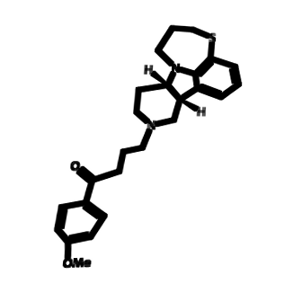 COc1ccc(C(=O)CCCN2CC[C@H]3[C@@H](C2)c2cccc4c2N3CCCS4)cc1